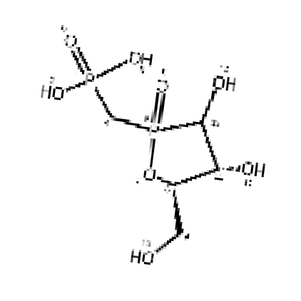 O=P(O)(O)CP1(=O)O[C@H](CO)[C@@H](O)C1O